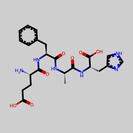 C[C@H](NC(=O)[C@H](Cc1ccccc1)NC(=O)[C@@H](N)CCC(=O)O)C(=O)N[C@@H](Cc1c[nH]cn1)C(=O)O